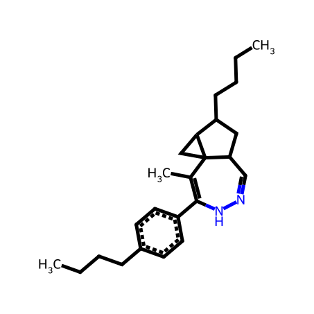 CCCCc1ccc(C2=C(C)C34CC3C(CCCC)CC4C=NN2)cc1